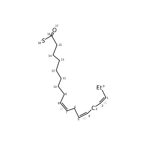 CC/C=C\C/C=C\C/C=C\CCCCCCCC(=O)[S]